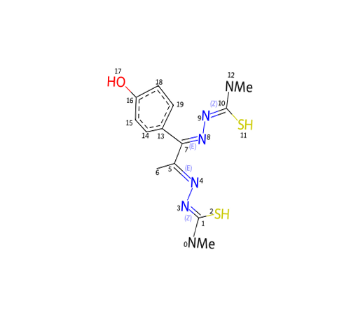 CN/C(S)=N/N=C(C)/C(=N/N=C(\S)NC)c1ccc(O)cc1